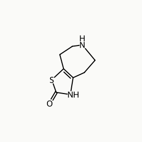 O=c1[nH]c2c(s1)CCNCC2